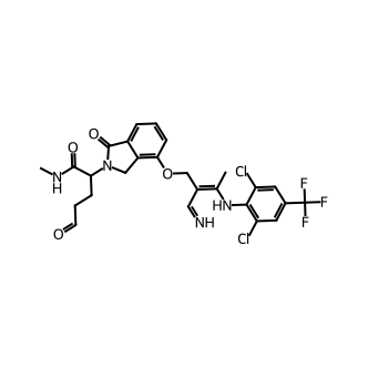 CNC(=O)C(CCC=O)N1Cc2c(OC/C(C=N)=C(\C)Nc3c(Cl)cc(C(F)(F)F)cc3Cl)cccc2C1=O